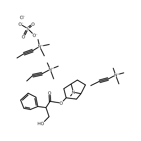 CC#C[N+](C)(C)C.CC#C[N+](C)(C)C.CC#C[N+](C)(C)C.CN1C2CCC1CC(OC(=O)C(CO)c1ccccc1)C2.O=S(=O)([O-])[O-].[Cl-]